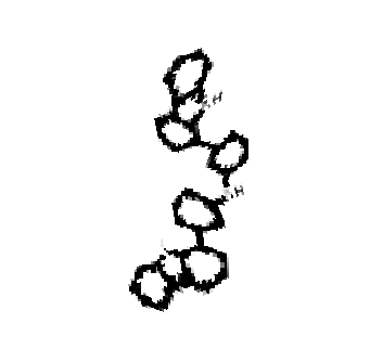 c1cc(Nc2cccc(-c3cccc4c3[nH]c3ccccc34)c2)cc(-c2cccc3c2[nH]c2ccccc23)c1